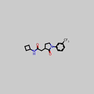 O=C(CC1CCN(c2cccc(C(F)(F)F)c2)C1=O)NC1CCC1